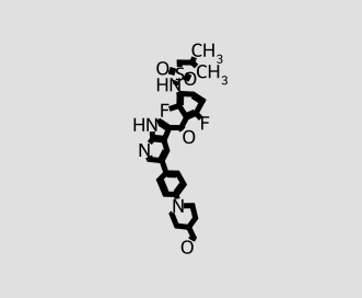 CC(C)CS(=O)(=O)Nc1ccc(F)c(C(=O)c2c[nH]c3ncc(-c4ccc(N5CCC(C=O)CC5)cc4)cc23)c1F